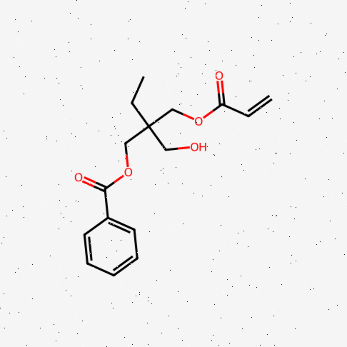 C=CC(=O)OCC(CC)(CO)COC(=O)c1ccccc1